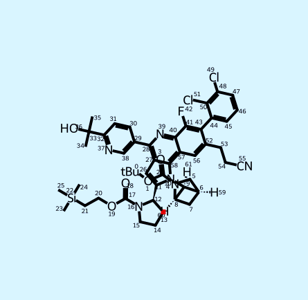 CC(C)(C)OC(=O)N1C[C@H]2C[C@@H]1[C@H]2n1c([C@H]2CCCN2C(=O)OCC[Si](C)(C)C)cc2c(-c3ccc(C(C)(C)O)nc3)nc3c(F)c(-c4cccc(Cl)c4Cl)c(CCC#N)cc3c21